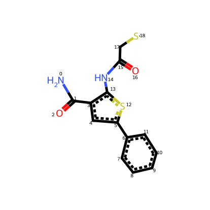 NC(=O)c1cc(-c2ccccc2)sc1NC(=O)C[S]